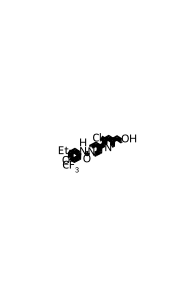 CCc1cc(NC(=O)N2CC=C(c3ncc(CCO)cc3Cl)CC2)ccc1OC(F)(F)F